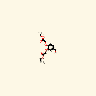 CCOC(=O)COc1ccc(C=O)cc1OCC(=O)OCC